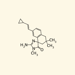 CN1C(=O)C2(CC(C)(C)Cc3ccc(C=CC4CC4)cc32)N=C1N